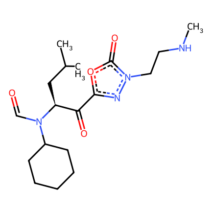 CNCCn1nc(C(=O)[C@H](CC(C)C)N(C=O)C2CCCCC2)oc1=O